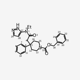 CCN(C(=O)CC1(c2ccccc2)CCN(C(=O)OCc2ccccc2)CC1)c1ccn[nH]1